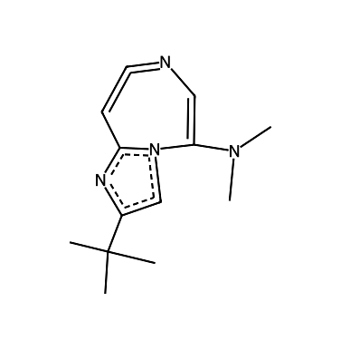 CN(C)C1=CN=C=Cc2nc(C(C)(C)C)cn21